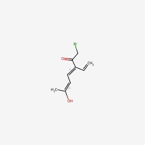 C=C/C(=C\C=C(/C)O)C(=O)CBr